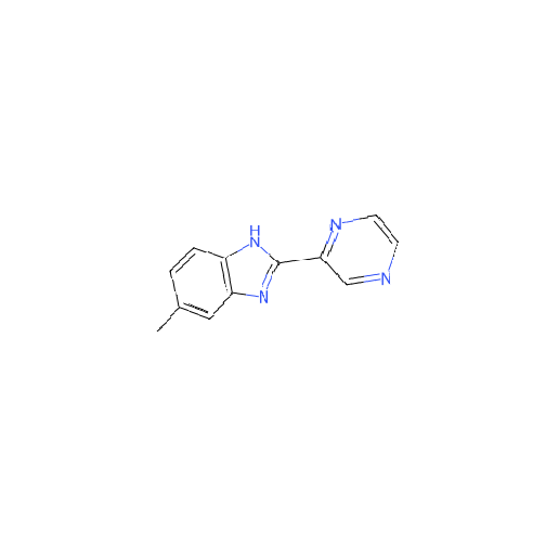 Cc1ccc2[nH]c(-c3cnccn3)nc2c1